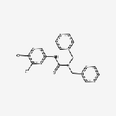 O=C(Nc1ccc(Cl)c(Cl)c1)N(Cc1ccccc1)Cc1ccccc1